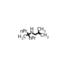 C=C(C)CNC(C)(CCC)CCC